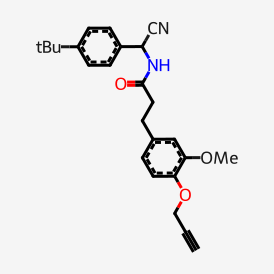 C#CCOc1ccc(CCC(=O)NC(C#N)c2ccc(C(C)(C)C)cc2)cc1OC